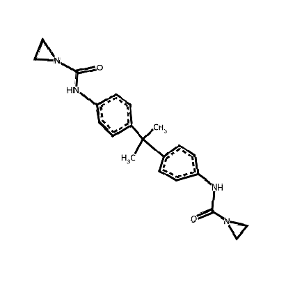 CC(C)(c1ccc(NC(=O)N2CC2)cc1)c1ccc(NC(=O)N2CC2)cc1